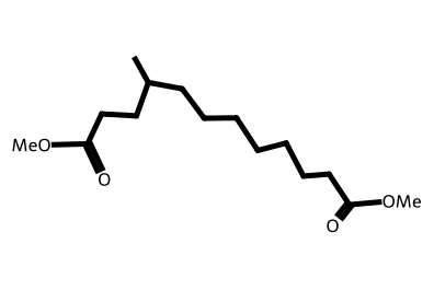 COC(=O)CCCCCCCC(C)CCC(=O)OC